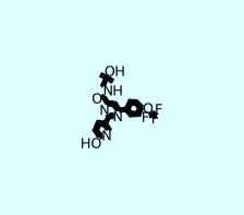 CC(C)(O)CNC(=O)c1cc(-c2ccc(OC(F)(F)F)cc2)nc(-c2ccc(O)nc2)n1